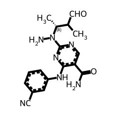 CC(C=O)[C@@H](C)N(N)c1ncc(C(N)=O)c(Nc2cccc(C#N)c2)n1